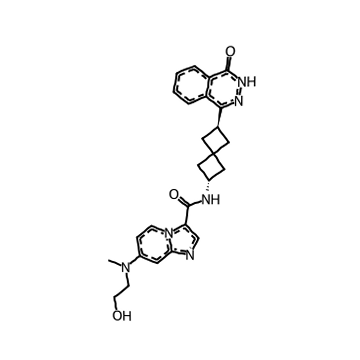 CN(CCO)c1ccn2c(C(=O)N[C@H]3CC4(C3)C[C@H](c3n[nH]c(=O)c5ccccc53)C4)cnc2c1